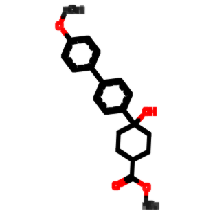 CCCCCCCCOc1ccc(-c2ccc(C3(O)CCC(C(=O)OCCCC)CC3)cc2)cc1